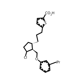 CC(C)c1cccc(OC[C@H]2C(Cl)CC[C@@H]2CCCc2ccc(C(=O)O)s2)c1